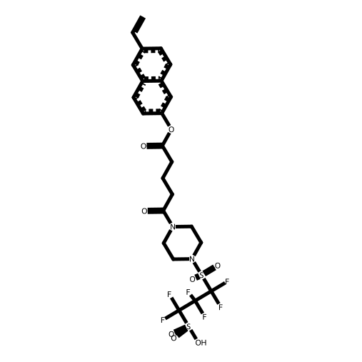 C=Cc1ccc2cc(OC(=O)CCCC(=O)N3CCN(S(=O)(=O)C(F)(F)C(F)(F)C(F)(F)S(=O)(=O)O)CC3)ccc2c1